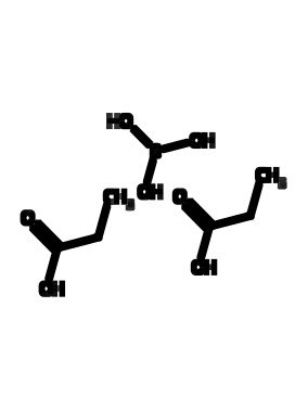 CCC(=O)O.CCC(=O)O.OB(O)O